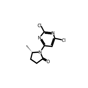 C[C@H]1CCC(=O)N1c1cc(Cl)nc(Cl)n1